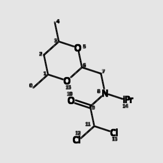 CC1CC(C)OC(CN(C(=O)C(Cl)Cl)C(C)C)O1